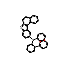 c1ccc(-c2ccccc2N(c2ccccc2)c2ccc3sc4ccc5ccccc5c4c3c2)cc1